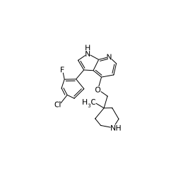 CC1(COc2ccnc3[nH]cc(-c4ccc(Cl)cc4F)c23)CCNCC1